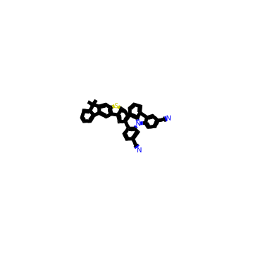 CC1(C)c2ccccc2-c2cc3c(cc21)sc1ccc(-c2ccc(C#N)cc2-n2c4ccccc4c4cc(C#N)ccc42)cc13